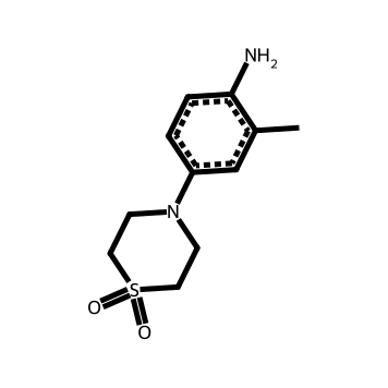 Cc1cc(N2CCS(=O)(=O)CC2)ccc1N